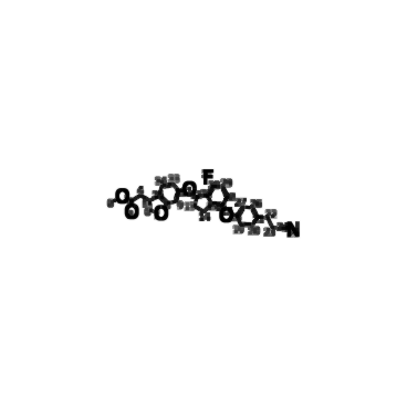 COC(=O)CC1COc2cc(O[C@@H]3CCc4c(Oc5ccc(CCC#N)cc5)ccc(F)c43)ccc21